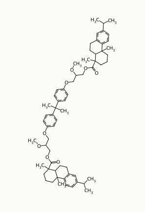 COC(COC(=O)C1(C)CCCC2(C)c3ccc(C(C)C)cc3CCC12)COc1ccc(C(C)(C)c2ccc(OCC(COC(=O)C3(C)CCCC4(C)c5ccc(C(C)C)cc5CCC34)OC)cc2)cc1